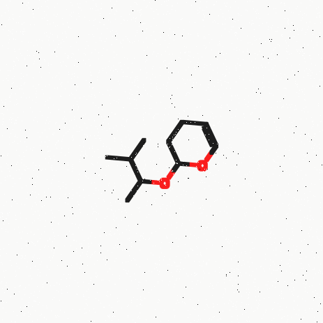 CC(C)C(C)OC1CCC=CO1